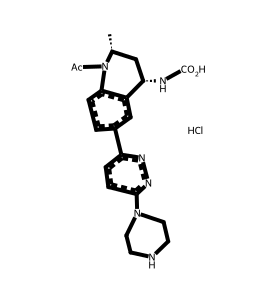 CC(=O)N1c2ccc(-c3ccc(N4CCNCC4)nn3)cc2[C@@H](NC(=O)O)C[C@H]1C.Cl